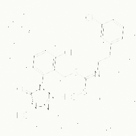 CSC(=NCCc1cccc(Cl)c1)SCc1c(C)cccc1-n1nnn(C)c1=O